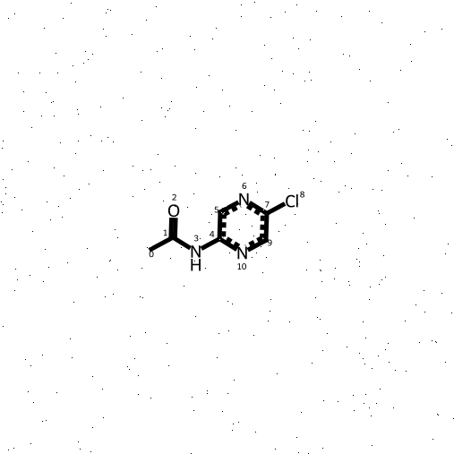 CC(=O)Nc1cnc(Cl)cn1